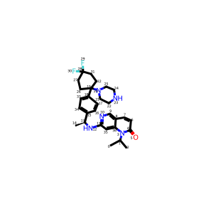 CC(C)n1c(=O)ccc2cnc(N[C@@H](C)c3ccc(C4(N5CCNCC5)CCC(F)(F)CC4)cc3)cc21